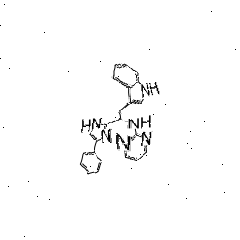 c1ccc(-c2c[nH]c(C(Cc3c[nH]c4ccccc34)Nc3ncccn3)n2)cc1